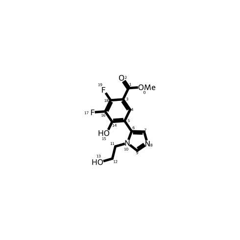 COC(=O)c1cc(-c2cncn2CCO)c(O)c(F)c1F